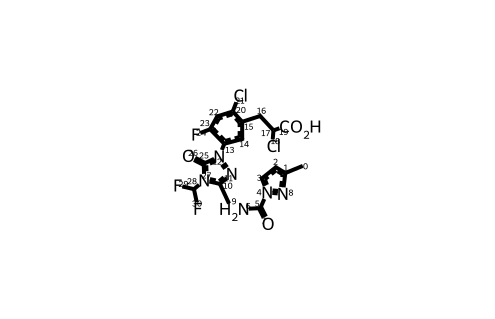 Cc1ccn(C(N)=O)n1.Cc1nn(-c2cc(CC(Cl)C(=O)O)c(Cl)cc2F)c(=O)n1C(F)F